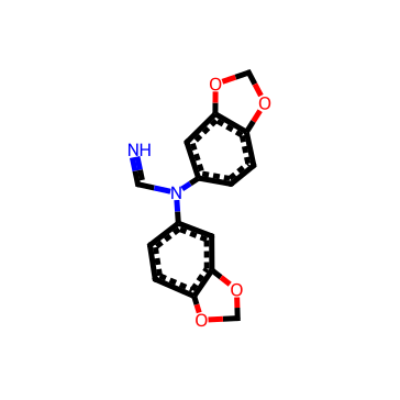 N=CN(c1ccc2c(c1)OCO2)c1ccc2c(c1)OCO2